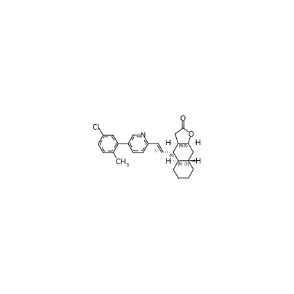 Cc1ccc(Cl)cc1-c1ccc(/C=C/[C@H]2[C@@H]3CCCC[C@H]3C[C@@H]3OC(=O)C[C@H]23)nc1